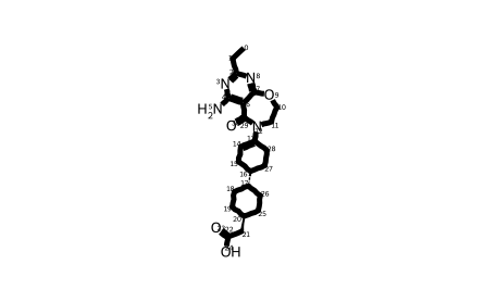 CCc1nc(N)c2c(n1)OCCN(C1=CCC([C@H]3CC[C@H](CC(=O)O)CC3)CC1)C2=O